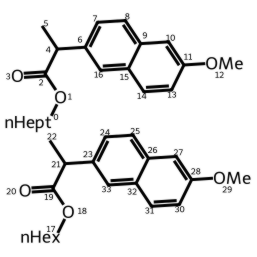 CCCCCCCOC(=O)C(C)c1ccc2cc(OC)ccc2c1.CCCCCCOC(=O)C(C)c1ccc2cc(OC)ccc2c1